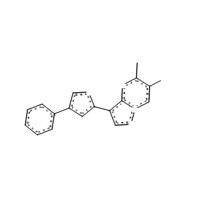 CCOC(=O)c1cn2ncc(-c3cc(-c4ccccc4)cs3)c2nc1C